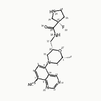 C[C@@H]1CN(c2ccc(C#N)c3ncncc23)C[C@H](CNC(=O)[C@]2(F)CCNC2)O1